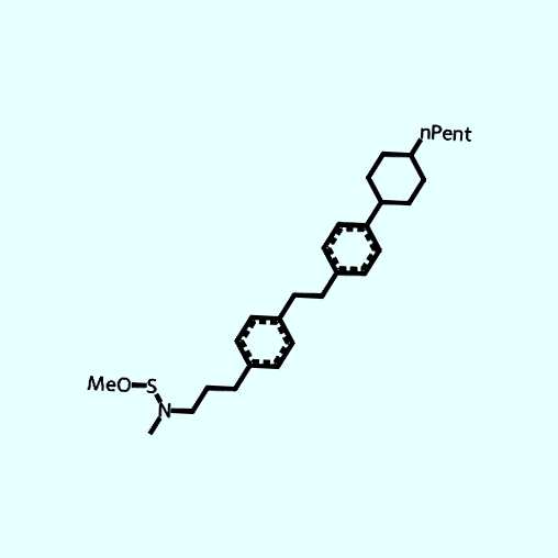 CCCCCC1CCC(c2ccc(CCc3ccc(CCCN(C)SOC)cc3)cc2)CC1